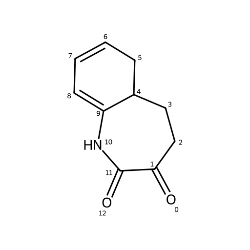 O=C1CCC2CC=CC=C2NC1=O